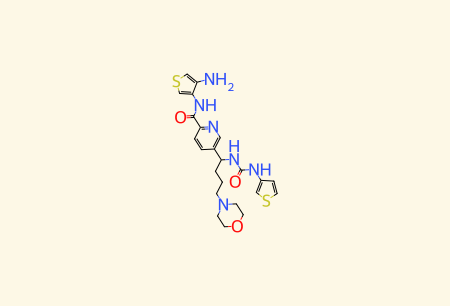 Nc1cscc1NC(=O)c1ccc(C(CCCN2CCOCC2)NC(=O)Nc2ccsc2)cn1